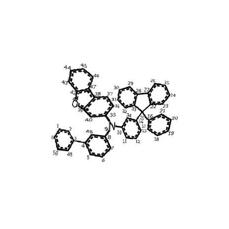 c1ccc(-c2cccc(N(c3cccc(C4(c5ccccc5)c5ccccc5-c5ccccc54)c3)c3ccc4c(c3)oc3ccccc34)c2)cc1